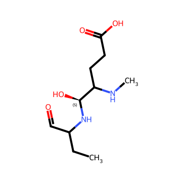 CCC(C=O)N[C@@H](O)C(CCC(=O)O)NC